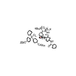 COc1ccc(C(OC[C@@]23CN(C(N(C(=O)O)C(C)(C)C)N(C(=O)O)C(C)(C)C)[C@@H]([C@H](n4ccc(NC(=O)c5ccccc5)nc4=O)O2)[C@@H]3O)(c2ccccc2)c2ccc(OC)cc2)cc1